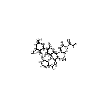 C=CC(=O)N1CC2CNc3c(c4cc(F)c(-c5cc(O)cc(Cl)c5Cl)c(F)c4n(-c4c(C)ccnc4C(C)C)c3=O)N2CC1C